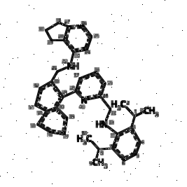 CC(C)c1cccc(C(C)C)c1NCc1cccc(-c2c(CNc3cccc4c3CCC4)ccc3ccccc23)n1